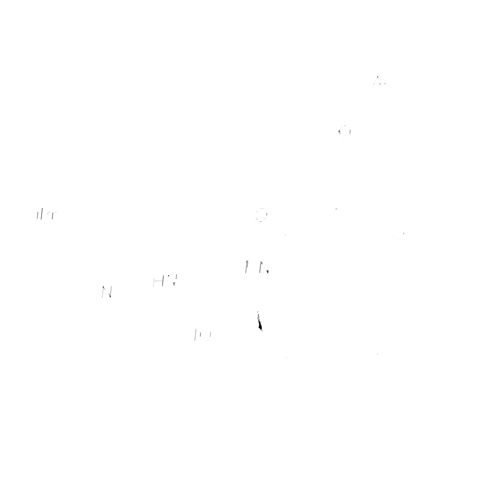 CC(=O)COc1cc2cc(c1)C(=O)N[C@H]([C@H](O)CNCc1cc(C(C)C)ccn1)Cc1cccc(c1)CCCCO2